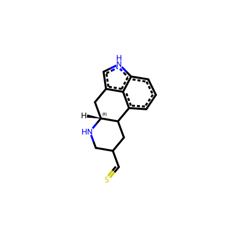 S=CC1CN[C@@H]2Cc3c[nH]c4cccc(c34)C2C1